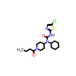 CCCC(=O)N1CCC(N(C(=O)Nc2ncc(Cl)s2)C2CCCCC2)CC1